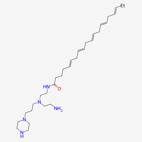 CCC=CCC=CCC=CCC=CCC=CCCCC(=O)NCCN(CCN)CCCN1CCNCC1